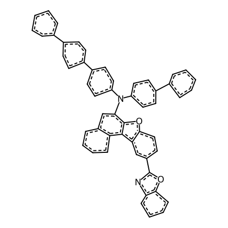 c1ccc(-c2ccc(-c3ccc(N(c4ccc(-c5ccccc5)cc4)c4cc5ccccc5c5c4oc4ccc(-c6nc7ccccc7o6)cc45)cc3)cc2)cc1